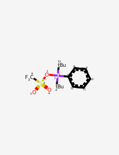 CC(C)(C)[I+](OS(=O)(=O)C(F)(F)F)(c1ccccc1)C(C)(C)C